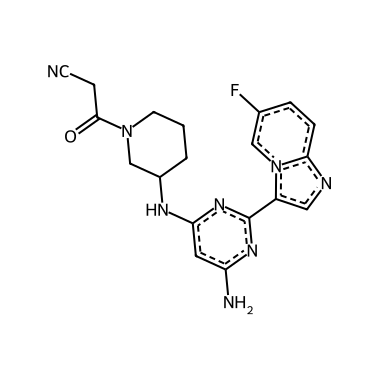 N#CCC(=O)N1CCCC(Nc2cc(N)nc(-c3cnc4ccc(F)cn34)n2)C1